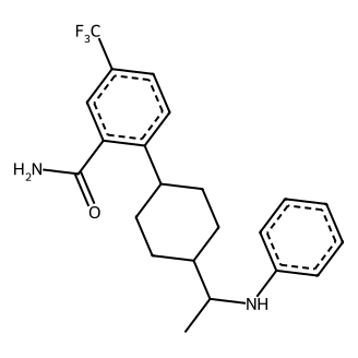 CC(Nc1ccccc1)C1CCC(c2ccc(C(F)(F)F)cc2C(N)=O)CC1